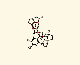 O=C(OCc1ccccc1)N1[C@H]2CC[C@@H]1[C@H](CO)N(c1nc(OC[C@@]34CCCN3C[C@H](F)C4)nc3c(F)c(Cl)nc(Cl)c13)C2